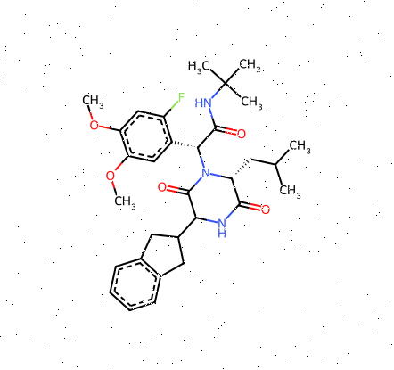 COc1cc(F)c([C@H](C(=O)NC(C)(C)C)N2C(=O)C(C3Cc4ccccc4C3)NC(=O)[C@H]2CC(C)C)cc1OC